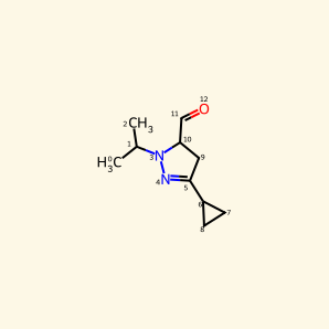 CC(C)N1N=C(C2CC2)CC1C=O